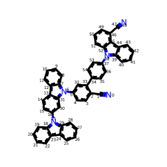 N#Cc1ccc(-n2c3ccccc3c3ccc(-n4c5ccccc5c5ccccc54)cc32)cc1-c1ccc(-n2c3ccccc3c3c(C#N)cccc32)cc1